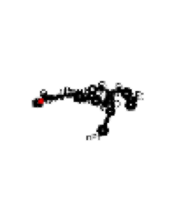 CCCCCC1CCC(C(=O)OCC(COC(=O)c2ccc(C#Cc3ccc(CCC)cc3)cc2)(COC(=O)c2ccc(C(=O)Oc3ccc(OCCCCCCOC(=O)C4CC5C=CC4C5)cc3)cc2)COC(=O)c2ccc3c(c2)c2ccccc2n3CC)CC1